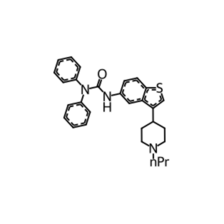 CCCN1CCC(c2csc3ccc(NC(=O)N(c4ccccc4)c4ccccc4)cc23)CC1